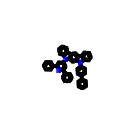 c1ccc(-c2ccc(-n3c4ccccc4c4cc5c6ccccc6n(-c6cc(-c7ccccc7)nc(-c7ccccc7)c6)c5cc43)cc2)cc1